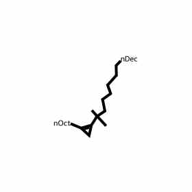 CCCCCCCCCCCCCCCCC(C)(C)C1=C(CCCCCCCC)C1